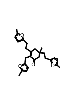 Cc1ccc(CCC2=C(Cc3ccc(C)o3)C(=O)CC(C)(CCc3ccc(C)o3)C2)o1